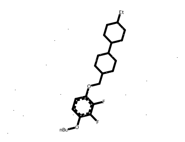 CCCCOc1ccc(OCC2CCC(C3CCC(CC)CC3)CC2)c(F)c1F